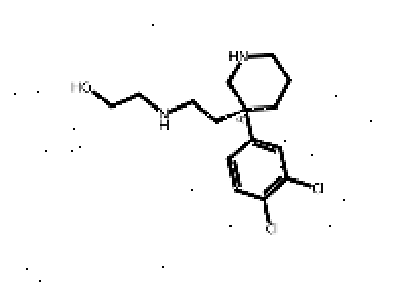 OCCNCC[C@]1(c2ccc(Cl)c(Cl)c2)CCCNC1